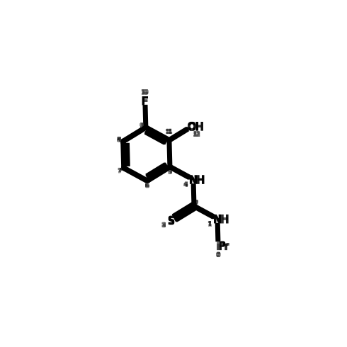 CC(C)NC(=S)Nc1cccc(F)c1O